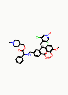 COc1ccc([C@H](Cc2c(Cl)c[n+]([O-])cc2Cl)c2cc(CNC(C(=O)OCC3CCN(C)CC3)c3ccccc3)ccc2C(=O)O)cc1OC